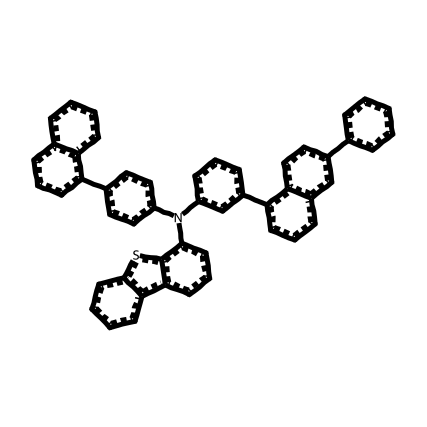 c1ccc(-c2ccc3c(-c4cccc(N(c5ccc(-c6cccc7ccccc67)cc5)c5cccc6c5sc5ccccc56)c4)cccc3c2)cc1